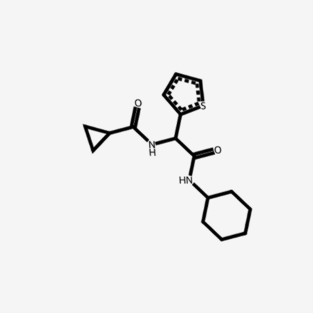 O=C(NC(C(=O)NC1CCCCC1)c1cccs1)C1CC1